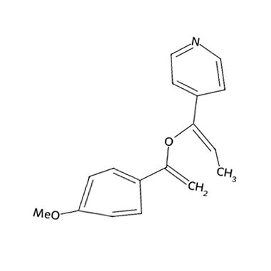 C=C(O/C(=C\C)c1ccncc1)c1ccc(OC)cc1